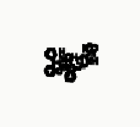 O=C(O)N[C@H](C(=O)Nc1ccccc1CC[C@@H]1CN[C@H](c2ncon2)CO1)C(c1ccccc1)c1ccccc1